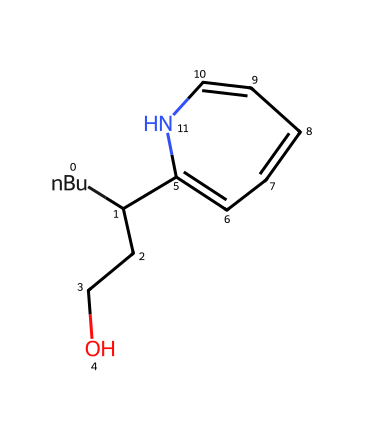 CCCCC(CCO)C1=CC=CC=CN1